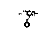 Cc1cn2cc(Cl)cc(OCc3ccccc3)c2n1.Cl